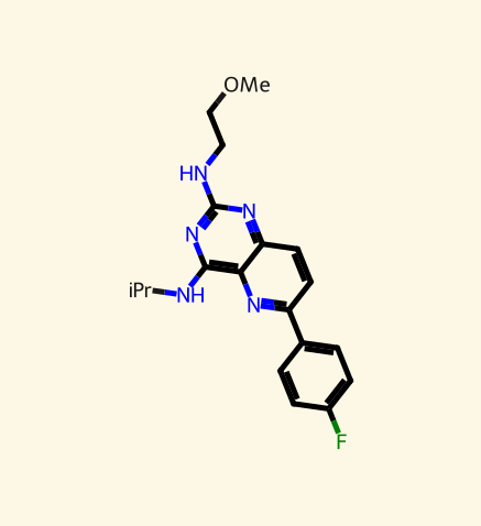 COCCNc1nc(NC(C)C)c2nc(-c3ccc(F)cc3)ccc2n1